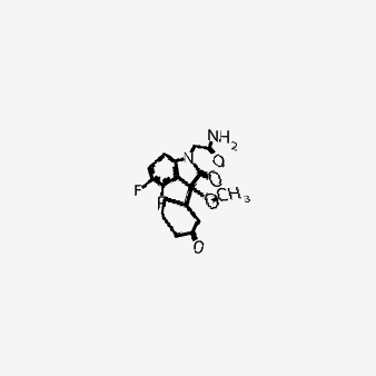 COC1(C2CCCC(=O)C2)C(=O)N(CC(N)=O)c2ccc(F)c(F)c21